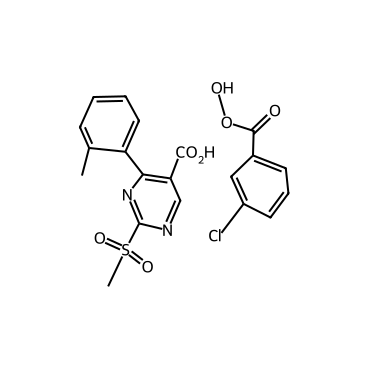 Cc1ccccc1-c1nc(S(C)(=O)=O)ncc1C(=O)O.O=C(OO)c1cccc(Cl)c1